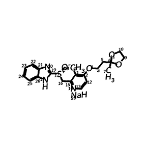 Cc1c(OCCC2(C)OCCO2)ccnc1C[S+]([O-])c1nc2ccccc2[nH]1.[NaH]